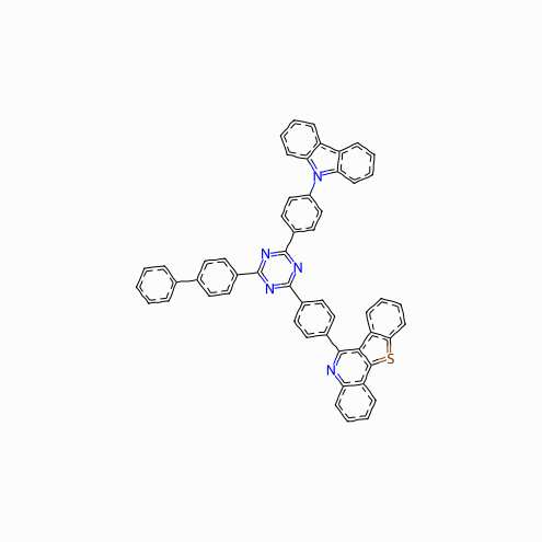 c1ccc(-c2ccc(-c3nc(-c4ccc(-c5nc6ccccc6c6sc7ccccc7c56)cc4)nc(-c4ccc(-n5c6ccccc6c6ccccc65)cc4)n3)cc2)cc1